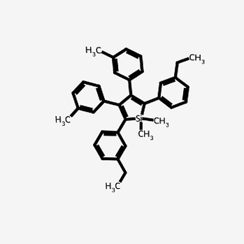 CCc1cccc(C2=C(c3cccc(C)c3)C(c3cccc(C)c3)=C(c3cccc(CC)c3)[Si]2(C)C)c1